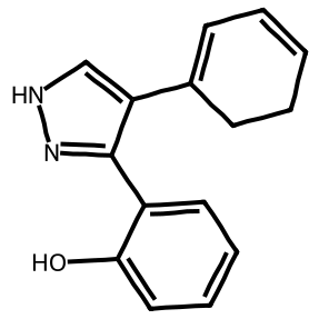 Oc1ccccc1-c1n[nH]cc1C1=CC=CCC1